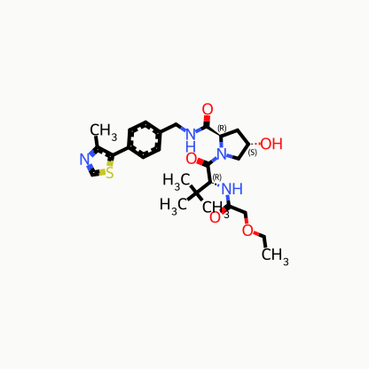 CCOCC(=O)N[C@@H](C(=O)N1C[C@@H](O)C[C@@H]1C(=O)NCc1ccc(-c2scnc2C)cc1)C(C)(C)C